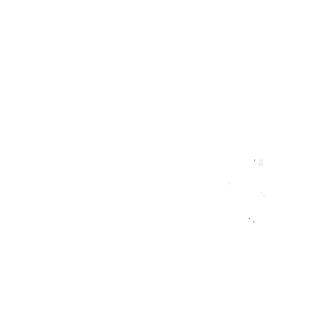 O=C(NC1c2ccccc2Oc2cc(OCC3CCCCCCCCCCCC3)ccc21)[C@@H]1CCCN1